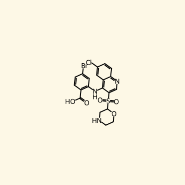 O=C(O)c1ccc(Br)cc1Nc1c(S(=O)(=O)C2CNCCO2)cnc2ccc(Cl)cc12